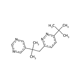 CC(C)(C)c1ccc(CC(C)(C)c2cncnc2)nn1